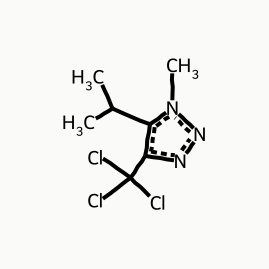 CC(C)c1c(C(Cl)(Cl)Cl)nnn1C